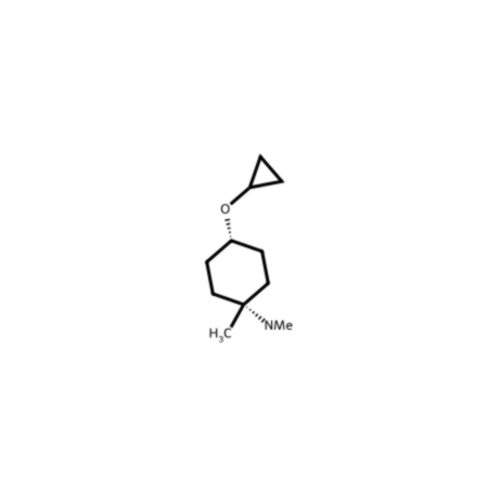 CN[C@]1(C)CC[C@H](OC2CC2)CC1